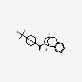 O=C(N1C[C@@H]2C[C@H]1c1ccccc1O2)C12CCC(C(F)(F)F)(CC1)CC2